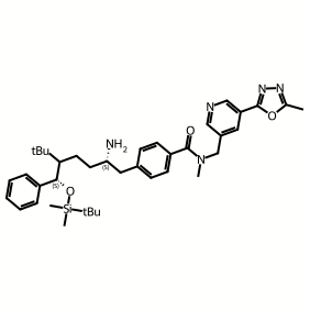 Cc1nnc(-c2cncc(CN(C)C(=O)c3ccc(C[C@@H](N)CCC([C@H](O[Si](C)(C)C(C)(C)C)c4ccccc4)C(C)(C)C)cc3)c2)o1